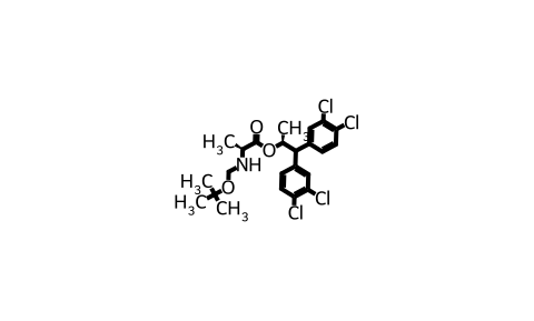 C[C@H](NCOC(C)(C)C)C(=O)O[C@@H](C)C(c1ccc(Cl)c(Cl)c1)c1ccc(Cl)c(Cl)c1